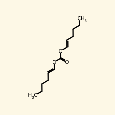 CCCCC=COC(=O)OC=CCCCC